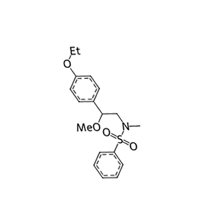 CCOc1ccc(C(CN(C)S(=O)(=O)c2ccccc2)OC)cc1